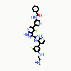 CN(C)CCNc1cc(F)cc(-c2ccnc3[nH]c(-c4n[nH]c5ncc(-c6cncc(NC(=O)C7CCCCC7)c6)c(F)c45)nc23)c1